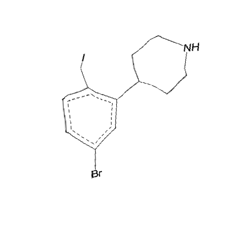 Brc1ccc(I)c(C2CCNCC2)c1